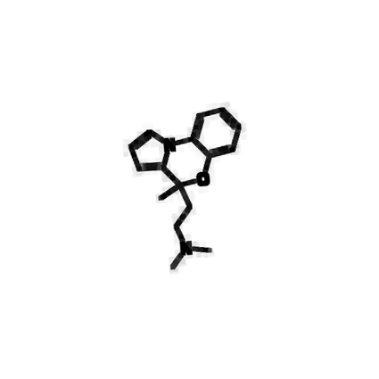 CN(C)CCC1(C)Oc2ccccc2-n2cccc21